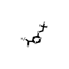 CC(=O)c1cc(OCC(F)(F)F)ncn1